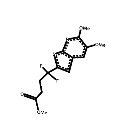 COC(=O)CCC(F)(F)c1cc2cc(OC)c(OC)nc2s1